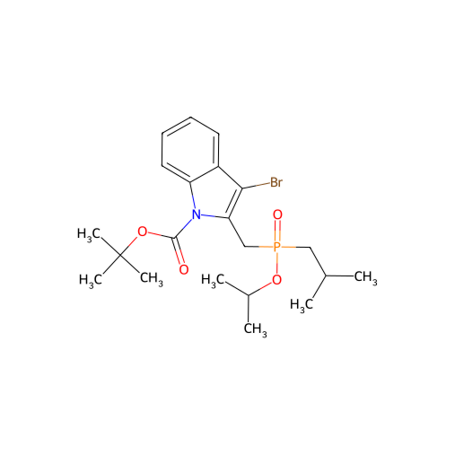 CC(C)CP(=O)(Cc1c(Br)c2ccccc2n1C(=O)OC(C)(C)C)OC(C)C